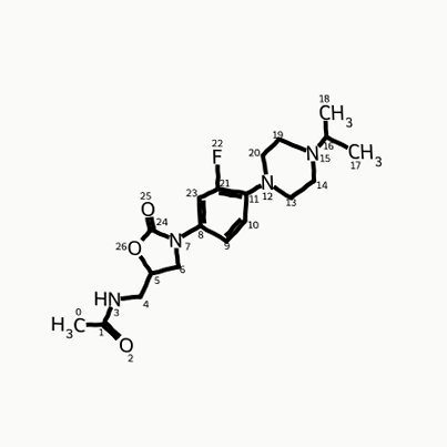 CC(=O)NCC1CN(c2ccc(N3CCN(C(C)C)CC3)c(F)c2)C(=O)O1